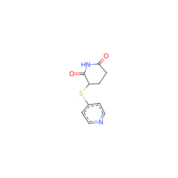 O=C1CCC(Sc2ccncc2)C(=O)N1